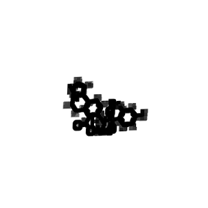 COC(=O)c1c(NS(=O)(=O)c2ccc(F)cc2Br)ccc2c1CCn1nccc1-2